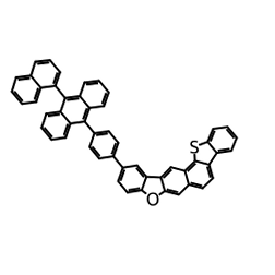 c1ccc2c(-c3c4ccccc4c(-c4ccc(-c5ccc6oc7cc8ccc9c%10ccccc%10sc9c8cc7c6c5)cc4)c4ccccc34)cccc2c1